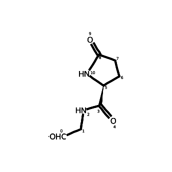 O=[C]CNC(=O)[C@@H]1CCC(=O)N1